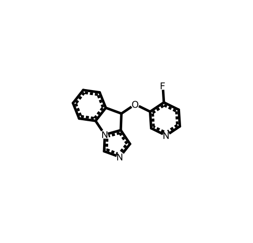 Fc1ccncc1OC1c2ccccc2-n2cncc21